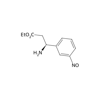 CCOC(=O)C[C@H](N)c1cccc(N=O)c1